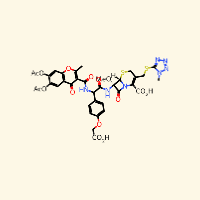 CO[C@@]1(NC(=O)C(NC(=O)c2c(C)oc3cc(OC(C)=O)c(OC(C)=O)cc3c2=O)c2ccc(OCC(=O)O)cc2)C(=O)N2C(C(=O)O)=C(CSc3nnnn3C)CS[C@H]21